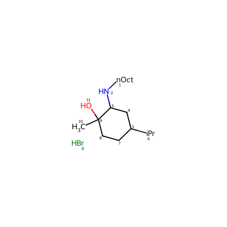 Br.CCCCCCCCNC1CC(C(C)C)CCC1(C)O